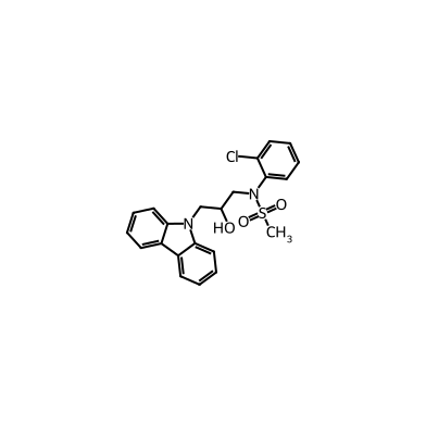 CS(=O)(=O)N(CC(O)Cn1c2ccccc2c2ccccc21)c1ccccc1Cl